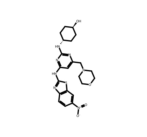 O=[N+]([O-])c1ccc2nc(Nc3cc(CN4CCOCC4)nc(N[C@H]4CC[C@H](O)CC4)n3)sc2c1